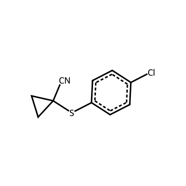 N#CC1(Sc2ccc(Cl)cc2)CC1